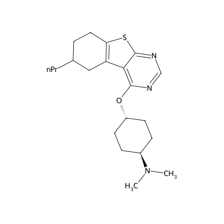 CCCC1CCc2sc3ncnc(O[C@H]4CC[C@H](N(C)C)CC4)c3c2C1